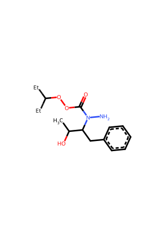 CCC(CC)OOC(=O)N(N)C(Cc1ccccc1)C(C)O